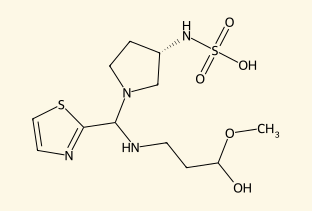 COC(O)CCNC(c1nccs1)N1CC[C@H](NS(=O)(=O)O)C1